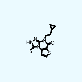 O=c1c2sccc2n2c(=S)[nH]nc2n1CCC1CC1